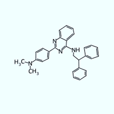 CN(C)c1ccc(-c2nc(NCC(c3ccccc3)c3ccccc3)c3ccccc3n2)cc1